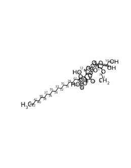 C=CCOC1=C(OP(=O)(O)O[C@@H](CO)[C@H]2OC(=O)C(OP(=O)(O)O)=C2OCCCCCCCCCCCCCCCCCC)C(=O)O[C@@H]1[C@@H](O)CO